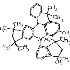 Cc1cc2c3c(c1)C(C)(C)c1ccccc1B3c1cc3c(cc1N2c1cccc2c1C(C)(C)CC2(C)C)C(C)(C)CC3(C)C